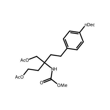 CCCCCCCCCCc1ccc(CCC(CCOC(C)=O)(COC(C)=O)NC(=O)OC)cc1